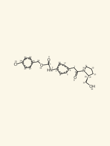 O=C(Nc1ccc(CC(=O)N2CCC[C@H]2CO)cc1)OCc1ccc(Cl)cc1